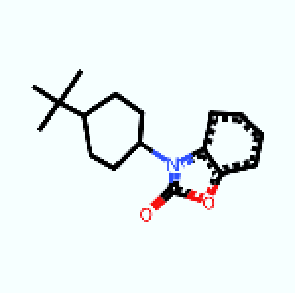 CC(C)(C)C1CCC(n2c(=O)oc3ccccc32)CC1